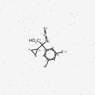 O=C(O)C(N=C=S)(c1cc(F)cc(F)c1)C1CC1